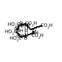 CCN[C@@H](CCCCNC(=O)CC[C@H](NC(=O)CC[C@H](NC(=O)CC[C@H](NC(=O)CC[C@H](NC(=O)CCCCCCCCCCCCC(=O)O)C(=O)O)C(=O)O)C(=O)O)C(=O)O)C(=O)O